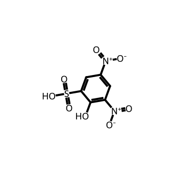 O=[N+]([O-])c1cc([N+](=O)[O-])c(O)c(S(=O)(=O)O)c1